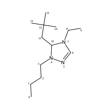 CCCCN1N=CN(CC)C1CC(C)(C)C